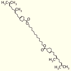 CC(C)=CCC/C(C)=C/CCC1=CCC(C(=O)OCCCCCCCCCCCCOC(=O)C2CC=C(CC/C=C(\C)CCC=C(C)C)CC2)CC1